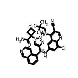 CC(C)(C)CNc1c(C#N)cnc2c(Cl)cc(N[C@H](c3cn(C4(C(N)=O)CCC4)nn3)c3cccc4cnccc34)cc12